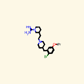 CC(C)Oc1ccc(Br)c(CC2CCN(CCC3CCCN(C(=N)N)C3)CC2)c1